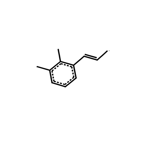 [CH2]C=Cc1cccc(C)c1C